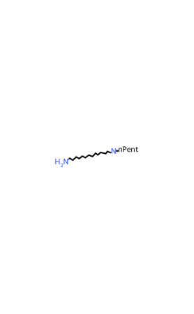 CCCCCC=NCCCCCCCCCCCCCCN